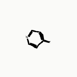 Ic1[c]cncc1